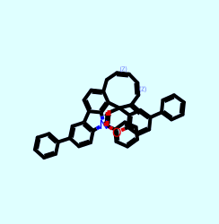 C=C1/C=C\C=C/Cc2ccc3c4cc(-c5ccccc5)ccc4n(-c4ccccc4)c3c2C12c1ccccc1Oc1ccc(-c3ccccc3)cc12